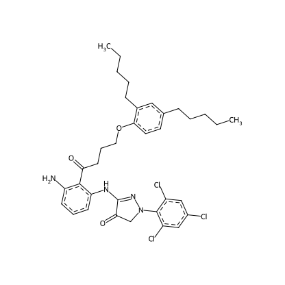 CCCCCc1ccc(OCCCC(=O)c2c(N)cccc2NC2=NN(c3c(Cl)cc(Cl)cc3Cl)CC2=O)c(CCCCC)c1